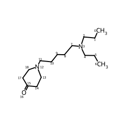 CCCN(CCC)CCCCCN1CCC(=O)CC1